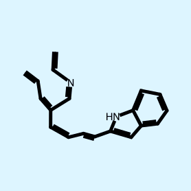 C=C/C=C(/C=C\C=C\c1cc2ccccc2[nH]1)\C=N/C=C